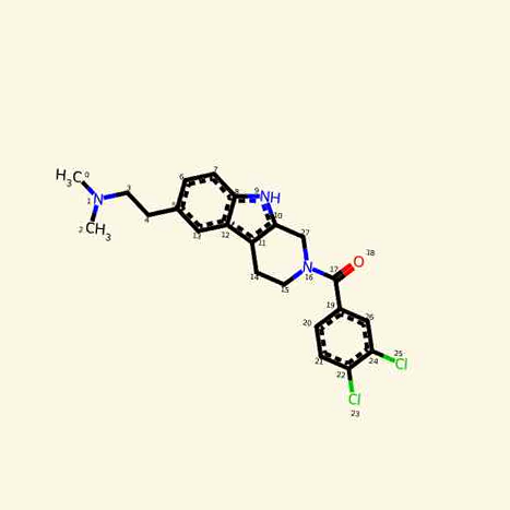 CN(C)CCc1ccc2[nH]c3c(c2c1)CCN(C(=O)c1ccc(Cl)c(Cl)c1)C3